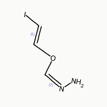 N/N=C\O/C=C/I